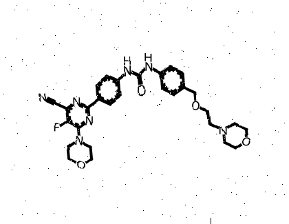 N#Cc1nc(-c2ccc(NC(=O)Nc3ccc(COCCN4CCOCC4)cc3)cc2)nc(N2CCOCC2)c1F